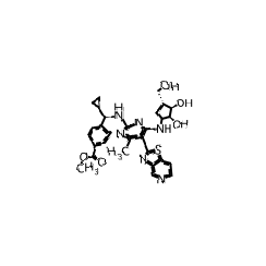 COC(=O)c1ccc([C@H](Nc2nc(C)c(-c3nc4cnccc4s3)c(NC3C[C@H](CO)[C@@H](O)[C@H]3O)n2)C2CC2)cc1